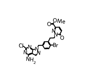 COC(=O)c1ccc(=O)n(CCc2cc(Cn3ncc4c(N)nc(Cl)nc43)ccc2Br)n1